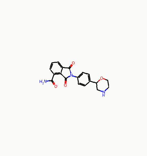 NC(=O)c1cccc2c1C(=O)N(c1ccc(C3CNCCO3)cc1)C2=O